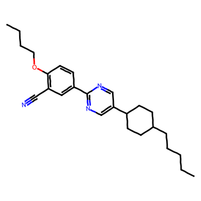 CCCCCC1CCC(c2cnc(-c3ccc(OCCCC)c(C#N)c3)nc2)CC1